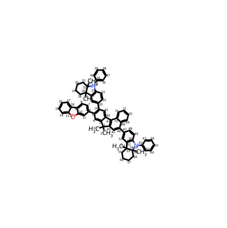 CC1(C)c2cc(-c3ccc4c(c3)oc3ccccc34)c(-c3ccc4c(c3)C3(C)CCCCC3(C)N4c3ccccc3)cc2-c2c1cc(-c1ccc3c(c1)C1(C)CCCCC1(C)N3c1ccccc1)c1ccccc21